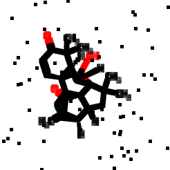 C=C1C(=O)[C@@]23[C@@H]4CC(C)(C)C25OC[C@]2(C=CC(=O)C(C)(C)[C@H]2[C@@H]5O)[C@@H]3CC[C@@H]14